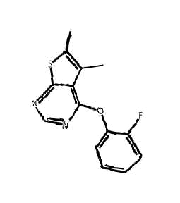 Cc1sc2ncnc(Oc3ccccc3F)c2c1C